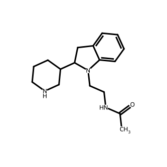 CC(=O)NCCN1c2ccccc2CC1C1CCCNC1